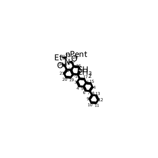 C=C(c1ccc2cc(-c3ccccc3)ccc2c1)c1cccc2c1/C(=C\C)C(=O)N(C(CC)CCCCC)C2=O